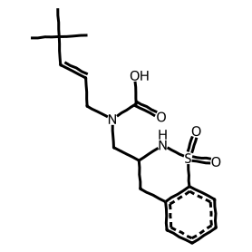 CC(C)(C)C=CCN(CC1Cc2ccccc2S(=O)(=O)N1)C(=O)O